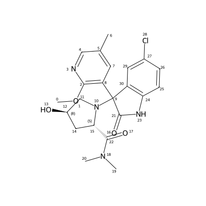 COc1ncc(C)cc1C1(N2C[C@H](O)C[C@H]2C(=O)N(C)C)C(=O)Nc2ccc(Cl)cc21